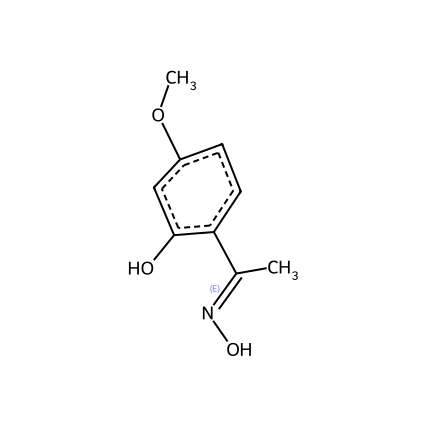 COc1ccc(/C(C)=N/O)c(O)c1